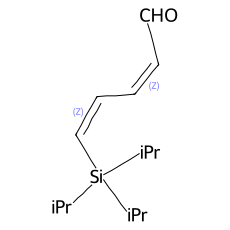 CC(C)[Si](/C=C\C=C/C=O)(C(C)C)C(C)C